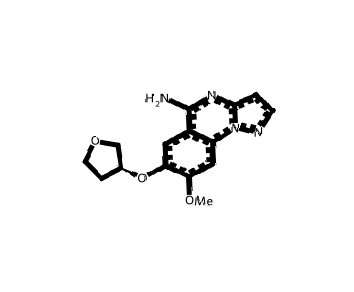 COc1cc2c(cc1O[C@H]1CCOC1)c(N)nc1ccnn12